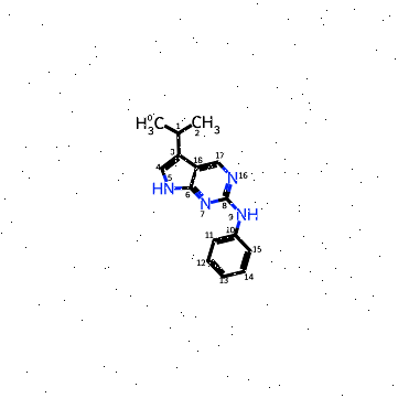 CC(C)c1c[nH]c2nc(Nc3ccccc3)ncc12